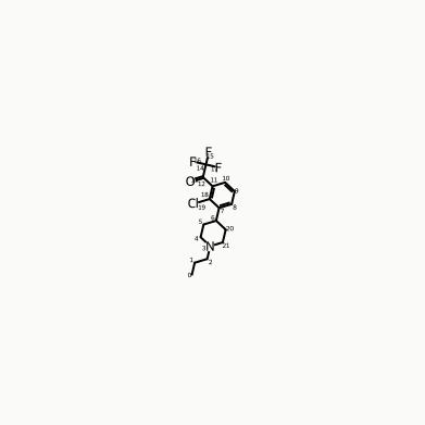 CCCN1CCC(c2cccc(C(=O)C(F)(F)F)c2Cl)CC1